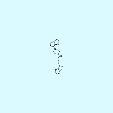 c1ccc2c(c1)CCC2CCCNC1CCN(c2cccc3c2OCCO3)CC1